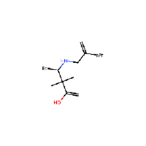 C=C(CCC)CN[C@H](CC)C(C)(C)C(=C)O